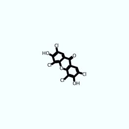 O=c1c2cc(Cl)c(O)c(Cl)c2oc2c(Cl)c(O)c(Cl)cc12